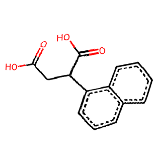 O=C(O)CC(C(=O)O)c1cccc2ccccc12